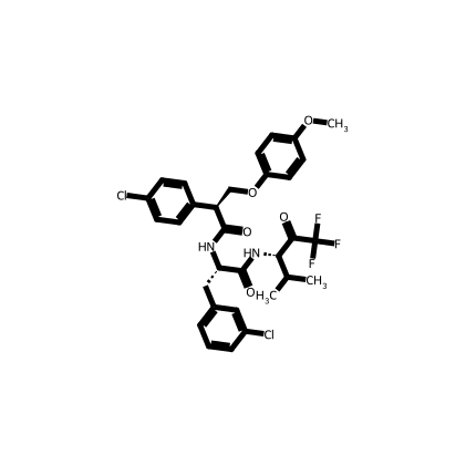 COc1ccc(OC[C@@H](C(=O)N[C@@H](Cc2cccc(Cl)c2)C(=O)N[C@H](C(=O)C(F)(F)F)C(C)C)c2ccc(Cl)cc2)cc1